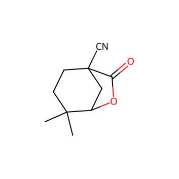 CC1(C)CCC2(C#N)CC1OC2=O